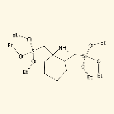 CCO[Si](CC1CCCCC1(N)C[Si](OCC)(OCC)OCC)(OCC)OCC